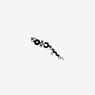 CCCCC(=O)CON=C1CCN(S(=O)(=O)c2ccc(OO)cc2)CC1